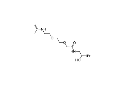 C=C(C)NCCOCCOCC(=O)NCC(O)C(C)C